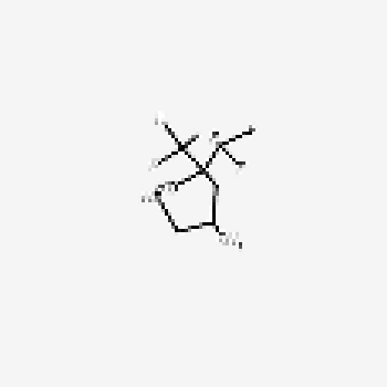 CC(CS)CC(O)(C(F)(F)F)C(F)(F)F